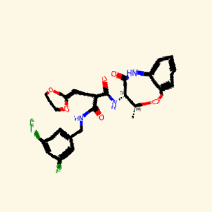 C[C@H]1Oc2ccccc2NC(=O)[C@H]1NC(=O)C(CC1OCCO1)C(=O)NCc1cc(F)cc(F)c1